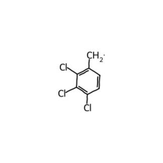 [CH2]c1ccc(Cl)c(Cl)c1Cl